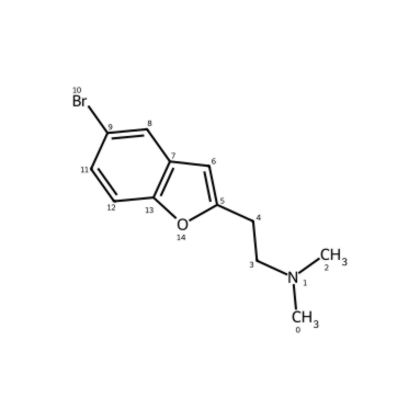 CN(C)CCc1cc2cc(Br)ccc2o1